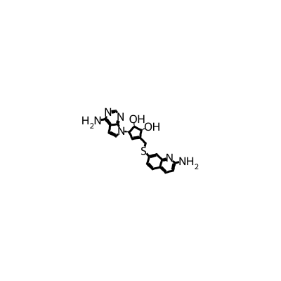 Nc1ccc2ccc(SCC3=C[C@@H](n4ccc5c(N)ncnc54)[C@H](O)[C@@H]3O)cc2n1